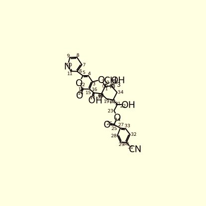 C[C@]12Oc3cc(-c4cccnc4)oc(=O)c3C(=O)[C@@H]1C[C@H](C(O)COC(=O)c1ccc(C#N)cc1)C[C@@H]2O